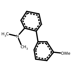 COc1cccc(-c2[c]cccc2N(C)C)c1